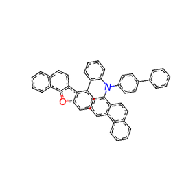 c1ccc(-c2ccc(N(c3ccccc3-c3cccc4oc5c6ccccc6ccc5c34)c3cccc4c3ccc3ccccc34)cc2)cc1